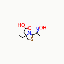 CCC1(CC(=O)O)CSC(C(C)=NO)=N1